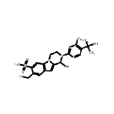 CC(C)C1c2cc3cc(CO)c(S(C)(=O)=O)cc3n2CCN1c1ncc(C(C)(C)O)c(C(F)(F)F)n1